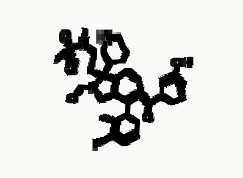 Cc1c(F)cccc1-c1c(C(=O)c2cccc(O)c2)ccc2c1CN(C=O)C2(CCN(C)S(C)(=O)=O)C1CCCNC1